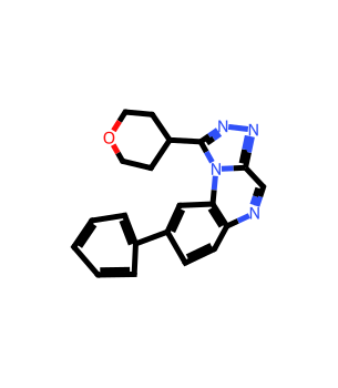 c1ccc(-c2ccc3ncc4nnc(C5CCOCC5)n4c3c2)cc1